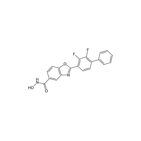 O=C(NO)c1ccc2oc(-c3ccc(-c4ccccc4)c(F)c3F)nc2c1